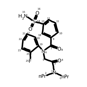 CCCN(CCC)C(=O)CN(C(=O)c1cccc(S(N)(=O)=O)c1)c1ccccc1F